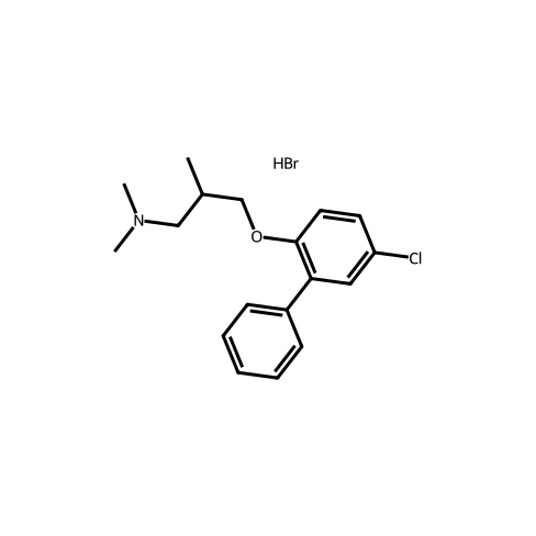 Br.CC(COc1ccc(Cl)cc1-c1ccccc1)CN(C)C